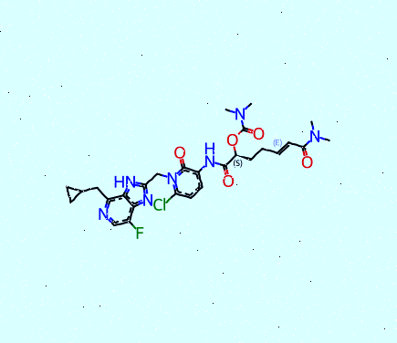 CN(C)C(=O)/C=C/CC[C@H](OC(=O)N(C)C)C(=O)Nc1ccc(Cl)n(Cc2nc3c(F)cnc(CC4CC4)c3[nH]2)c1=O